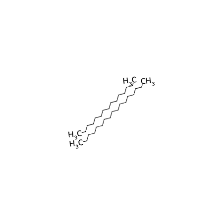 CCCCCCCCCCCCCCC.CCCCCCCCCCCCCCCCC